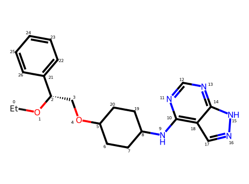 CCO[C@@H](COC1CCC(Nc2ncnc3[nH]ncc23)CC1)c1ccccc1